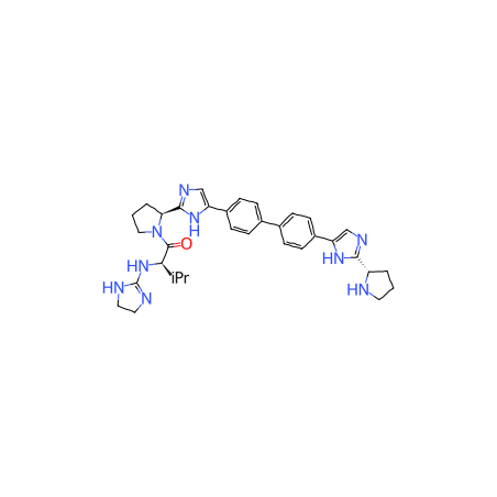 CC(C)[C@@H](NC1=NCCN1)C(=O)N1CCC[C@H]1c1ncc(-c2ccc(-c3ccc(-c4cnc([C@@H]5CCCN5)[nH]4)cc3)cc2)[nH]1